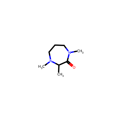 CC1C(=O)N(C)CCCN1C